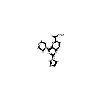 CNC(=O)c1ccc2nc(-n3ccnc3)nc(N3CCOCC3)c2n1